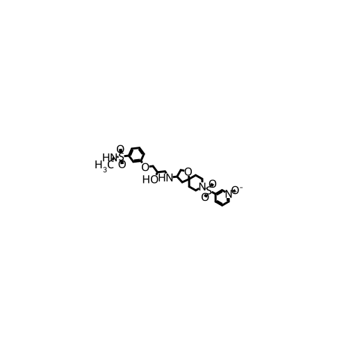 CNS(=O)(=O)c1cccc(OCC(O)CNC2COC3(CCN(S(=O)(=O)c4ccc[n+]([O-])c4)CC3)C2)c1